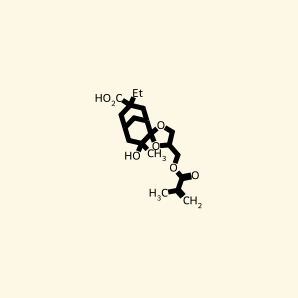 C=C(C)C(=O)OCC1COC2(O1)C1CC(CC(CC)(C(=O)O)C1)CC2(C)O